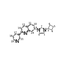 C1=CN(C2CCC2)CN1c1ccc2ccc(-c3cccnc3)nc2c1